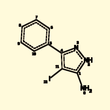 Nc1[nH]nc(-c2ccccc2)c1I